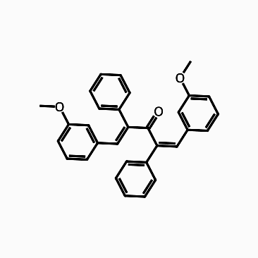 COc1cccc(C=C(C(=O)C(=Cc2cccc(OC)c2)c2ccccc2)c2ccccc2)c1